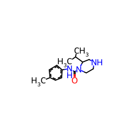 Cc1ccc(NC(=O)N2CCNCC2C(C)C)cc1